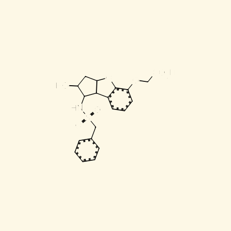 O=C(O)COc1cccc2c1OC1CC(O)C(NS(=O)(=O)Cc3ccccc3)C21